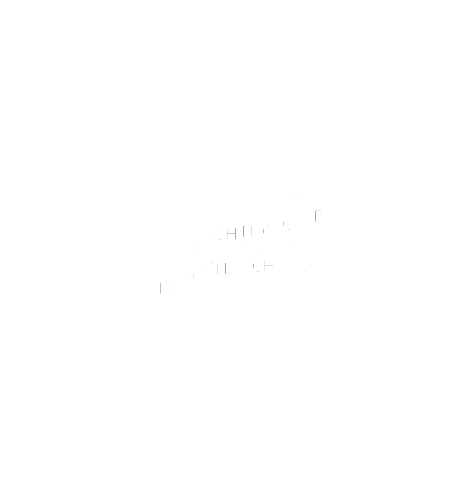 COc1ccccc1C(C)(C)CCC(C)(C)c1ccccc1OC(F)F